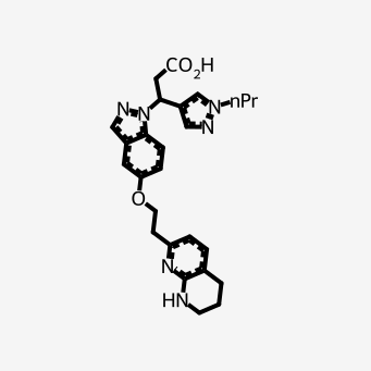 CCCn1cc(C(CC(=O)O)n2ncc3cc(OCCc4ccc5c(n4)NCCC5)ccc32)cn1